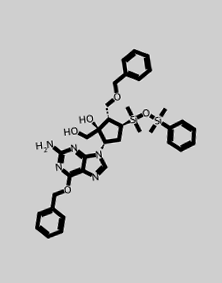 C[Si](C)(O[Si](C)(C)[C@H]1C[C@H](n2cnc3c(OCc4ccccc4)nc(N)nc32)[C@](O)(CO)[C@@H]1COCc1ccccc1)c1ccccc1